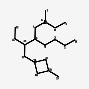 CCCCC(CB(C)CC)C(CC)CC1CC(C)C1